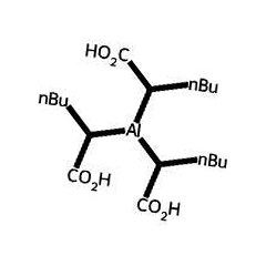 CCCC[CH](C(=O)O)[Al]([CH](CCCC)C(=O)O)[CH](CCCC)C(=O)O